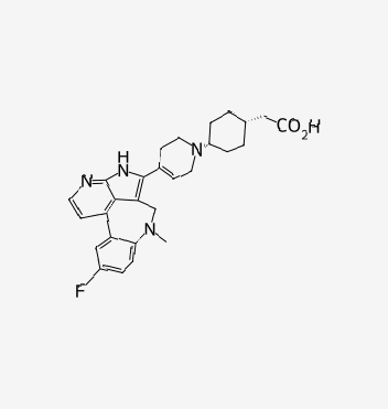 CN1Cc2c(C3=CCN([C@H]4CC[C@@H](CC(=O)O)CC4)CC3)[nH]c3nccc(c23)-c2cc(F)ccc21